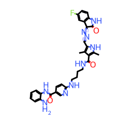 Cc1[nH]c(/C=N/N=C2\C(=O)Nc3ccc(F)cc32)c(C)c1C(=O)NCCCCNc1ccc(C(=O)Nc2ccccc2N)cn1